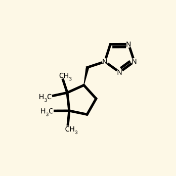 CC1(C)CC[C@H](Cn2cnnn2)C1(C)C